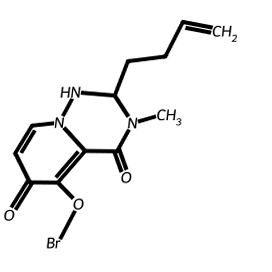 C=CCCC1Nn2ccc(=O)c(OBr)c2C(=O)N1C